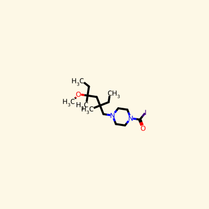 CCC(C)(CN1CCN(C(=O)I)CC1)CC(C)(CC)OC